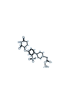 CC(C)(C)OC(=O)CN1CCC(c2ccc(OC3CCC(=O)NC3=O)cc2S(=O)(=O)F)CC1